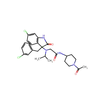 CC(=O)N1CCC(NC(=O)CN(C(C)C)C2(Cc3cccc(Cl)c3)C(=O)Nc3cc(Cl)ccc32)CC1